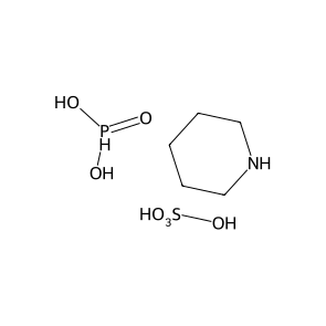 C1CCNCC1.O=S(=O)(O)O.O=[PH](O)O